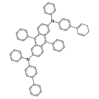 C1=CC(c2ccc(N(c3ccccc3)c3ccc4c(-c5ccccc5)c5cc(N(c6ccccc6)c6ccc(-c7ccccc7)cc6)ccc5c(-c5ccccc5)c4c3)cc2)=CCC1